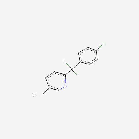 COc1ccc(C(F)(F)c2ccc(Br)cc2)nc1